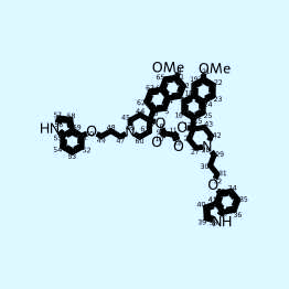 COc1ccc2cc(C3(OC(=O)C(=O)OC4(c5ccc6cc(OC)ccc6c5)CCN(CCCOc5cccc6[nH]ccc56)CC4)CCN(CCCOc4cccc5[nH]ccc45)CC3)ccc2c1